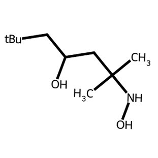 CC(C)(C)CC(O)CC(C)(C)NO